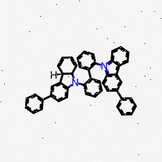 C1=CC2[C@@H](C=C1)c1cc(-c3ccccc3)ccc1N2c1ccccc1-c1ccccc1-n1c2ccccc2c2cc(-c3ccccc3)ccc21